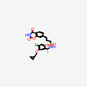 C[C@@H](NS(=O)(=O)CCCc1ccc2c(=O)[nH]c(=O)oc2c1)c1ccc(F)c(OCC2CC2)c1